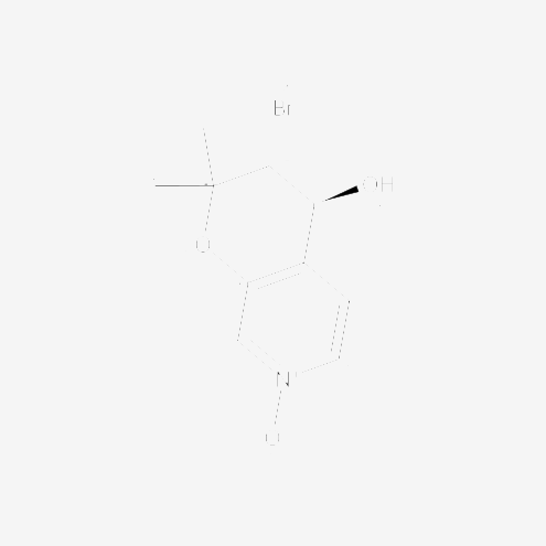 CC1(C)Oc2c[n+]([O-])ccc2[C@H](O)[C@H]1Br